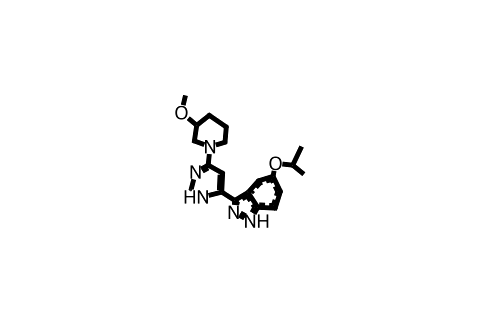 COC1CCCN(C2=NCNC(c3n[nH]c4ccc(OC(C)C)cc34)=C2)C1